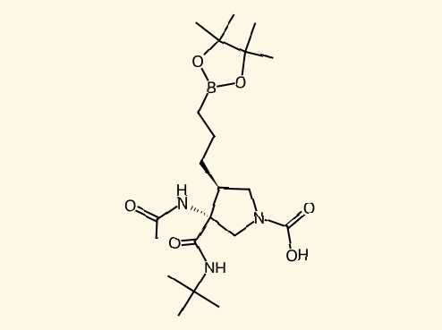 CC(=O)N[C@@]1(C(=O)NC(C)(C)C)CN(C(=O)O)C[C@@H]1CCCB1OC(C)(C)C(C)(C)O1